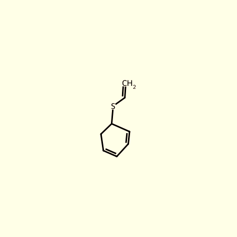 C=CSC1C=CC=CC1